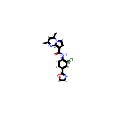 Cc1cc(C)n2ccc(C(=O)Nc3ccc(C4=NCCO4)cc3Cl)c2n1